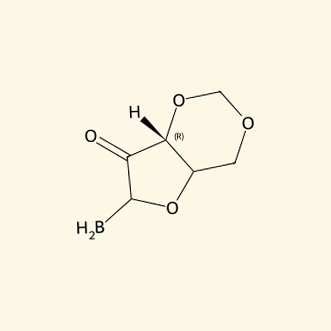 BC1OC2COCO[C@H]2C1=O